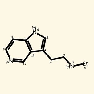 CCNCCc1c[nH]c2ccncc12